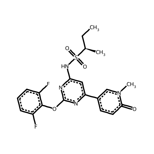 CC[C@@H](C)S(=O)(=O)Nc1cc(-c2ccc(=O)n(C)c2)nc(Oc2c(F)cccc2F)n1